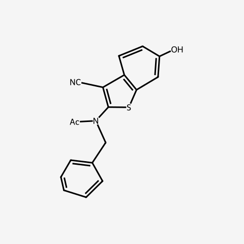 CC(=O)N(Cc1ccccc1)c1sc2cc(O)ccc2c1C#N